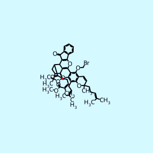 COC(=O)/C(C)=C\CC12OC(C)(C)C3CC(C1=O)C1C4=C(OC5=C1C32Oc1c(CC=C(C)C)c2c(c(OCBr)c15)C=CC(C)(CCC=C(C)C)O2)c1ccccc1C4=O